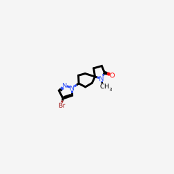 CN1C(=O)CCC12CCC(n1cc(Br)cn1)CC2